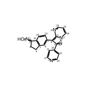 ON=C1CCc2cc(-c3c(-c4ccncc4)nn4cccnc34)ccc21